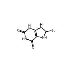 CCC1Nc2[nH]c(=O)[nH]c(=O)c2N1